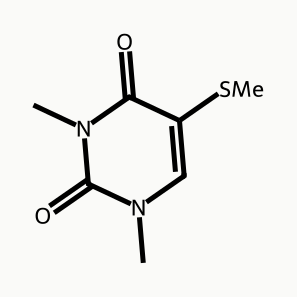 CSc1cn(C)c(=O)n(C)c1=O